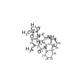 CCN(C(=O)c1cc2c(cc1C)OC(C)(C)C(=O)N2CCN)[C@H]1CCCC[C@@H]1c1ccccc1